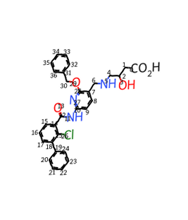 O=C(O)CC(O)CNCc1ccc(NC(=O)c2cccc(-c3ccccc3)c2Cl)nc1OCc1ccccc1